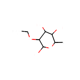 CCCC1OC(O)C(OCC(=O)O)C(O)C1O